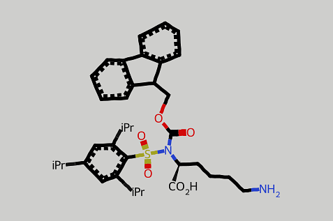 CC(C)c1cc(C(C)C)c(S(=O)(=O)N(C(=O)OCC2c3ccccc3-c3ccccc32)[C@@H](CCCCN)C(=O)O)c(C(C)C)c1